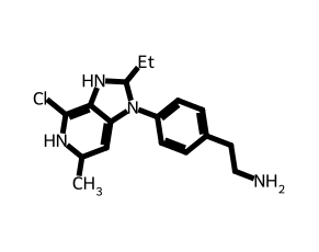 CCC1NC2=C(Cl)NC(C)C=C2N1c1ccc(CCN)cc1